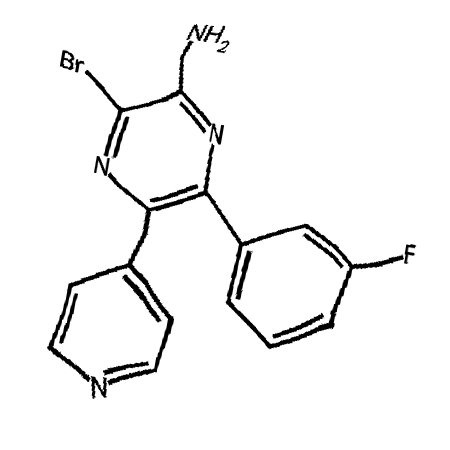 Nc1nc(-c2cccc(F)c2)c(-c2ccncc2)nc1Br